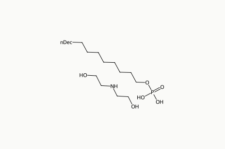 CCCCCCCCCCCCCCCCCCOP(=O)(O)O.OCCNCCO